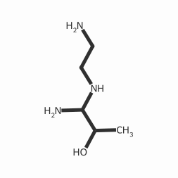 CC(O)C(N)NCCN